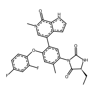 CC[C@@H]1NC(=O)N(c2cc(-c3cn(C)c(=O)c4[nH]ccc34)c(Oc3ccc(F)cc3F)cc2C)C1=O